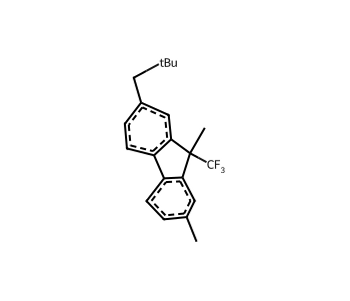 Cc1ccc2c(c1)C(C)(C(F)(F)F)c1cc(CC(C)(C)C)ccc1-2